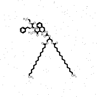 CCCCCCCCCCCCCCCC(=O)OCC(COC(=O)CCCCCCCCCCCCCCC)OC(=O)O[C@H]1Cc2ccccc2C(C(=O)[C@H](C)N[C@@H](CCc2ccccc2)C(=O)OCC)N1